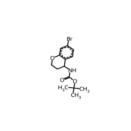 CC(C)(C)OC(=O)NC1CCOc2cc(Br)ccc21